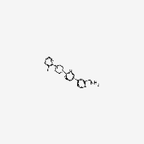 Cc1cccnc1N1CCN(c2ncc(-c3cccc(CN)c3)cn2)CC1